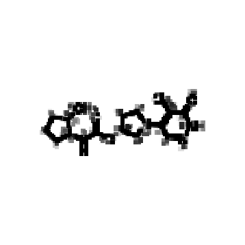 O=C(N[C@H]1CCC[C@H]1O)O[C@@H]1CCN(c2cn[nH]c(=O)c2Cl)C1